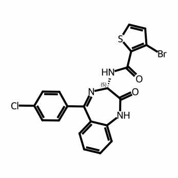 O=C(N[C@H]1N=C(c2ccc(Cl)cc2)c2ccccc2NC1=O)c1sccc1Br